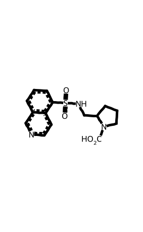 O=C(O)N1CCCC1CNS(=O)(=O)c1cccc2cnccc12